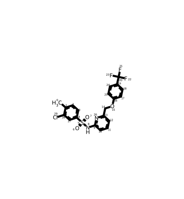 Cc1ccc(S(=O)(=O)Nc2cccc(COc3ccc(C(F)(F)F)cc3)n2)cc1Cl